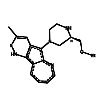 CCOC[C@H]1CN(c2c3nccccc-3c3c2C=C(C)SN3)CCN1